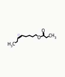 CC/C=C\CCCCOC(=O)CC